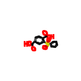 O=C(O)c1ccc(C(=O)O)c(S(=O)(=O)c2ccccc2)c1